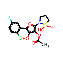 CC(=O)Oc1c(N2CCCS2(O)O)oc(-c2cc(F)ccc2Cl)c1O